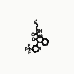 CSCCNC(=O)NC(=O)C(c1cc(C(F)(F)F)ccn1)c1ccccc1Cl